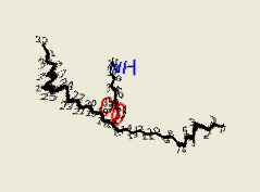 CCCCCC/C=C\CCCCCCCCC(CCCCCCCC/C=C\CCCCCC)OC(=O)CCCCNC